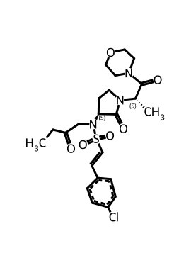 CCC(=O)CN([C@H]1CCN([C@@H](C)C(=O)N2CCOCC2)C1=O)S(=O)(=O)C=Cc1ccc(Cl)cc1